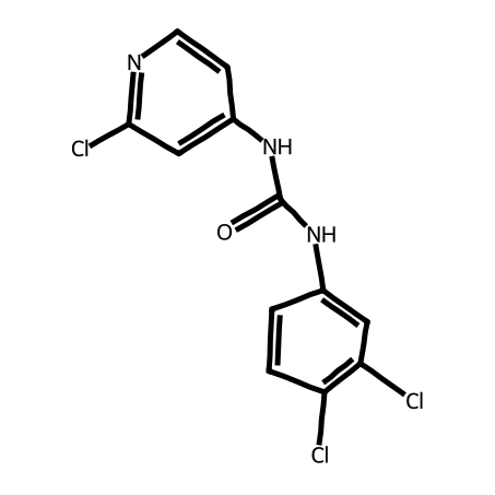 O=C(Nc1ccnc(Cl)c1)Nc1ccc(Cl)c(Cl)c1